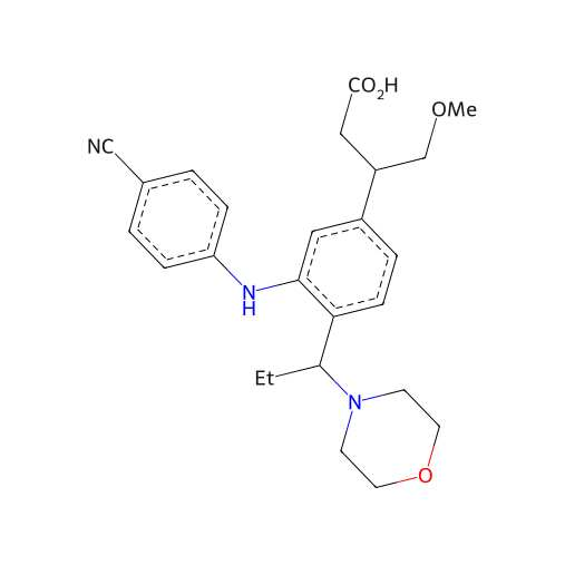 CCC(c1ccc(C(COC)CC(=O)O)cc1Nc1ccc(C#N)cc1)N1CCOCC1